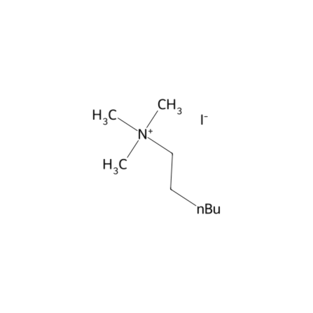 CCCCCC[N+](C)(C)C.[I-]